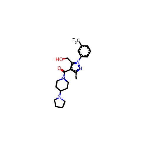 Cc1nn(-c2cccc(C(F)(F)F)c2)c(CO)c1C(=O)N1CCC(N2CCCC2)CC1